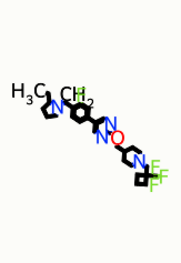 C=C(c1ccc(-c2cnc(OCC3CCN(CC4(C(F)(F)F)CCC4)CC3)nc2)cc1F)N1CCCC1CC